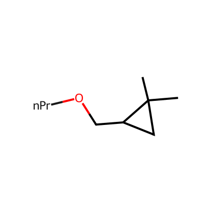 CCCOCC1CC1(C)C